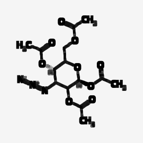 CC(=O)OCC1O[C@@H](OC(C)=O)C(OC(C)=O)C(N=[N+]=[N-])[C@@H]1OC(C)=O